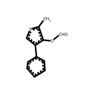 Cc1scc(-c2ccccc2)c1OC=O